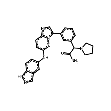 NC(=O)C(c1cccc(-c2cnc3ccc(Nc4ccc5[nH]ncc5c4)nn23)c1)N1CCCC1